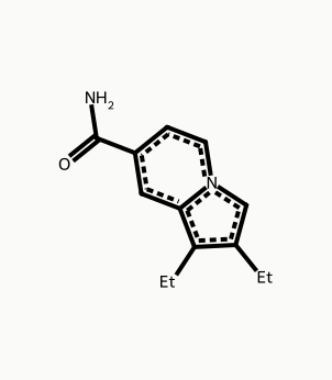 CCc1cn2ccc(C(N)=O)cc2c1CC